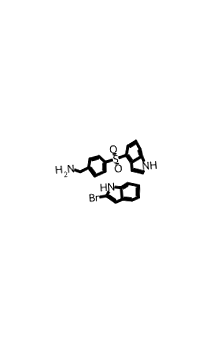 Brc1cc2ccccc2[nH]1.NCc1ccc(S(=O)(=O)c2cccc3[nH]ccc23)cc1